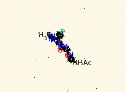 CC(=O)Nc1ccc2oc(-c3ccnc(C(=O)N4CCN(C(c5ccc(F)cc5)c5nnn(C)n5)CC4)c3)nc2c1